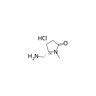 CN1C(=O)CC[C@H]1CN.Cl